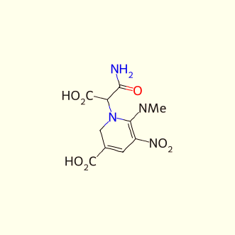 CNC1=C([N+](=O)[O-])C=C(C(=O)O)CN1C(C(N)=O)C(=O)O